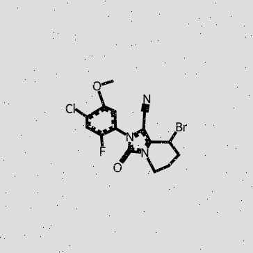 COc1cc(-n2c(C#N)c3n(c2=O)CCCC3Br)c(F)cc1Cl